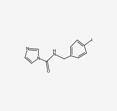 O=C(NCc1ccc(I)cc1)n1ccnc1